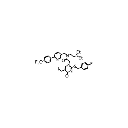 CCN(CC)CCN(Cc1ccc(-c2ccc(C(F)(F)F)cc2)nc1)C(=O)Cn1cc(CI)c(=O)nc1SCc1ccc(F)cc1